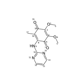 COC1=C(OC)C(=O)C(Nc2ncccn2)=C(C)C1=O